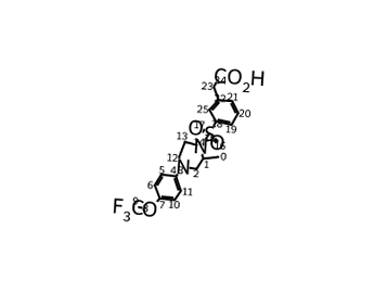 CC1CN(c2ccc(OC(F)(F)F)cc2)CCN1S(=O)(=O)c1cccc(CC(=O)O)c1